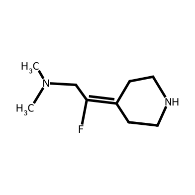 CN(C)CC(F)=C1CCNCC1